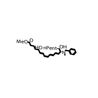 CCCCC[C@@H](O)[C@@H](/C=C/C=C/C=C\C=C\[C@@H](O)CCCC(=O)OC)N(C)Cc1ccccc1